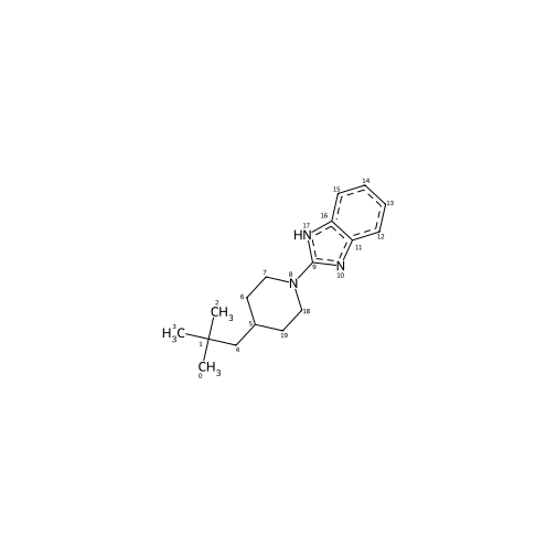 CC(C)(C)CC1CCN(c2nc3ccccc3[nH]2)CC1